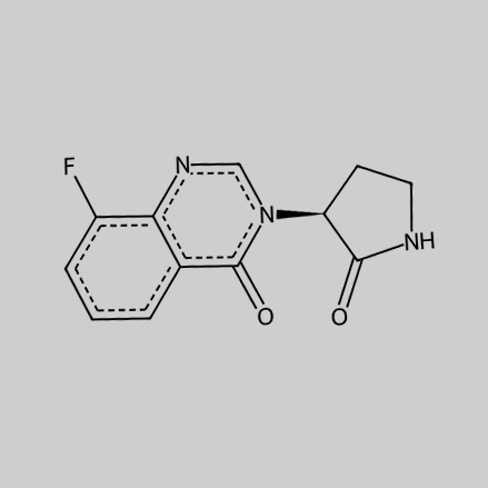 O=C1NCC[C@@H]1n1cnc2c(F)cccc2c1=O